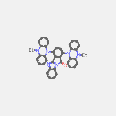 CCN1c2ccccc2N(c2ccc(N3c4ccccc4N(CC)c4ccccc43)c3c2C(=O)n2c-3nc3ccccc32)c2ccccc21